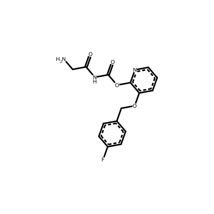 NCC(=O)NC(=O)Oc1ncccc1OCc1ccc(F)cc1